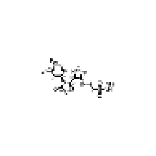 CC(C)NS(=O)(=O)CCNc1nonc1-c1noc(=O)n1-c1ccc(F)c(Br)c1